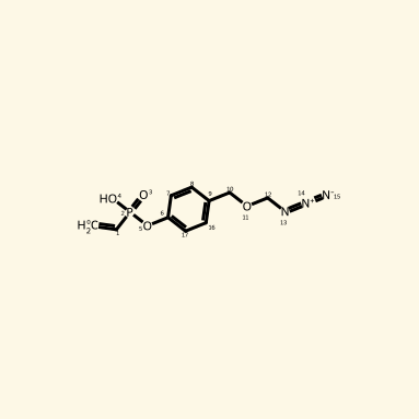 C=CP(=O)(O)Oc1ccc(COCN=[N+]=[N-])cc1